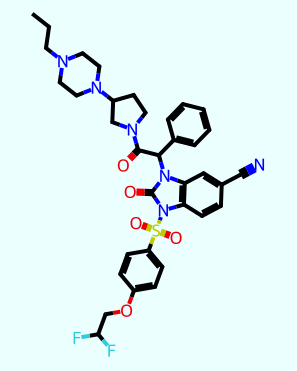 CCCN1CCN(C2CCN(C(=O)C(c3ccccc3)n3c(=O)n(S(=O)(=O)c4ccc(OCC(F)F)cc4)c4ccc(C#N)cc43)C2)CC1